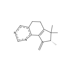 C=C1C2=C(CCc3cncnc32)C(C)(C)[C@@H]1C